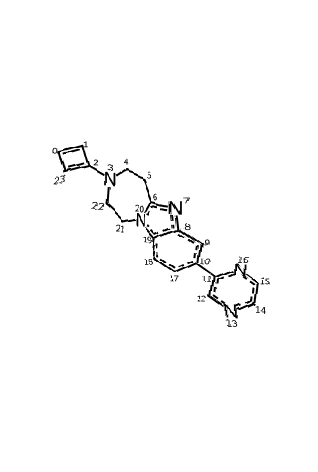 C1=CC(N2CCc3nc4cc(-c5cnccn5)ccc4n3CC2)=C1